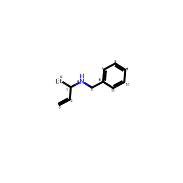 [CH2]CC(C=C)NCc1ccccc1